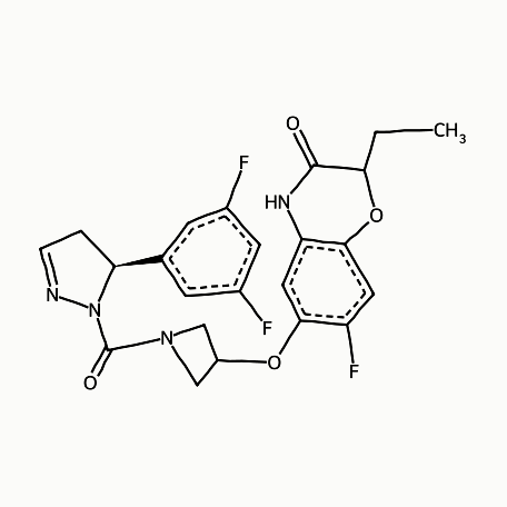 CCC1Oc2cc(F)c(OC3CN(C(=O)N4N=CC[C@H]4c4cc(F)cc(F)c4)C3)cc2NC1=O